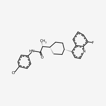 C[C@@H](C(=O)Nc1ccc(Cl)cc1)[C@H]1CC[C@@H](c2ccnc3c(F)cccc32)CC1